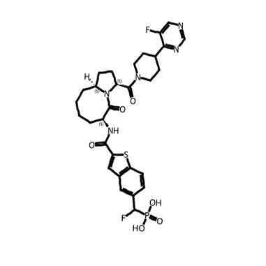 O=C(N[C@H]1CCCC[C@H]2CC[C@@H](C(=O)N3CCC(c4ncncc4F)CC3)N2C1=O)c1cc2cc(C(F)P(=O)(O)O)ccc2s1